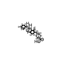 Cc1ccc(NC(=O)Nc2c(F)ccc(CN3CCN(C(=O)O)CC3)c2F)cn1